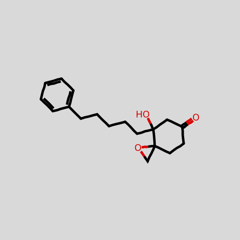 O=C1CCC2(CO2)C(O)(CCCCCc2ccccc2)C1